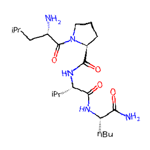 CCCC[C@H](NC(=O)[C@@H](NC(=O)[C@@H]1CCCN1C(=O)[C@@H](N)CC(C)C)C(C)C)C(N)=O